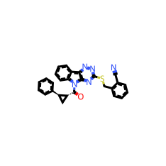 N#Cc1ccccc1CSc1nnc2c3ccccc3n(C(=O)[C@@H]3C[C@H]3c3ccccc3)c2n1